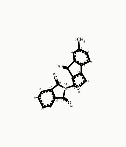 Cc1ccc2c(c1)C(=O)c1c-2csc1N1C(=O)c2ccccc2C1=O